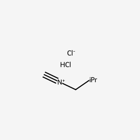 C#[N+]CC(C)C.Cl.[Cl-]